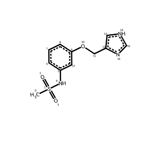 CS(=O)(=O)Nc1cccc(OCc2c[nH]cn2)c1